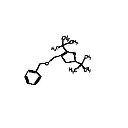 CC(C)(C)C1=C(COCc2ccccc2)CC(C(C)(C)C)S1